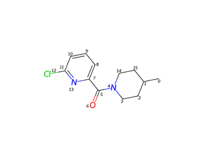 CC1CCN(C(=O)c2cccc(Cl)n2)CC1